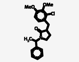 COc1ccc(CC2CCN(C(C)c3ccccc3)C2=O)c(Cl)c1OC